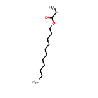 C[CH]C(=O)OCCCCCCCCCCC